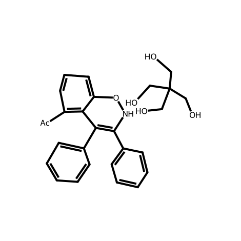 CC(=O)c1cccc2c1C(c1ccccc1)=C(c1ccccc1)NO2.OCC(CO)(CO)CO